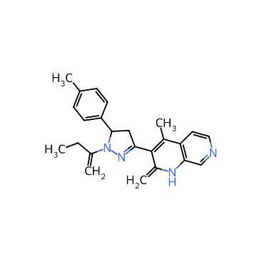 C=C1Nc2cnccc2C(C)=C1C1=NN(C(=C)CC)C(c2ccc(C)cc2)C1